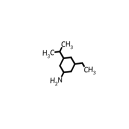 CCC1CC(N)CC(C(C)C)C1